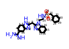 N=C(N)c1ccc2[nH]c(Cc3nc4ccccc4n3CCNS(=O)(=O)Cc3ccccc3)nc2c1